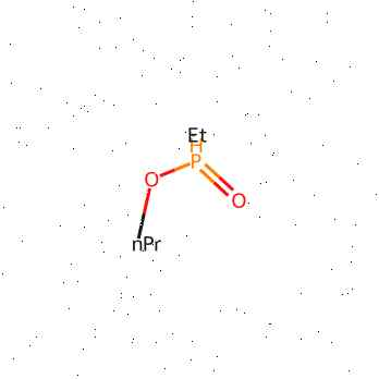 CCCO[PH](=O)CC